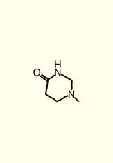 CN1CCC(=O)NC1